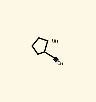 C#CC1CCCC1.[LiH]